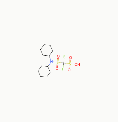 O=S(=O)(O)C(F)(F)S(=O)(=O)N(C1CCCCC1)C1CCCCC1